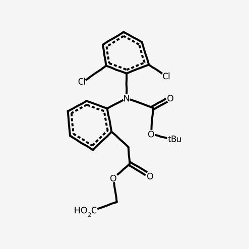 CC(C)(C)OC(=O)N(c1ccccc1CC(=O)OCC(=O)O)c1c(Cl)cccc1Cl